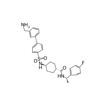 C[C@@H](NC(=O)[C@H]1CC[C@H](NS(=O)(=O)c2ccc(-c3cccc(CN)c3)cc2)CC1)c1ccc(F)cc1